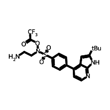 CC(C)(C)c1cc2c(-c3ccc(S(=O)(=O)N(CCN)OC(=O)C(F)(F)F)cc3)ccnc2[nH]1